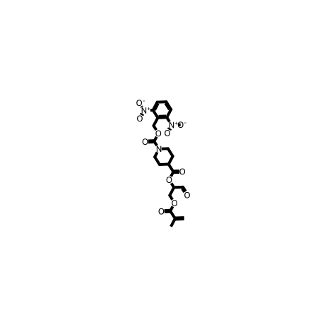 C=C(C)C(=O)OCC(C=O)OC(=O)C1CCN(C(=O)OCc2c([N+](=O)[O-])cccc2[N+](=O)[O-])CC1